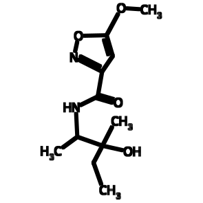 CCC(C)(O)C(C)NC(=O)c1cc(OC)on1